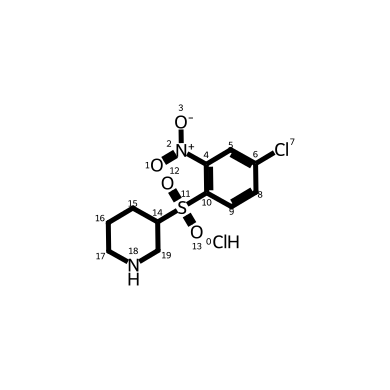 Cl.O=[N+]([O-])c1cc(Cl)ccc1S(=O)(=O)C1CCCNC1